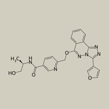 C[C@H](CO)NC(=O)c1ccc(COc2nn3c(-c4ccoc4)nnc3c3ccccc23)nc1